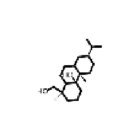 CC(C)[C@H]1CC[C@@]2(C)C(CCC3[C@](C)(CO)CCC[C@]32O)C1